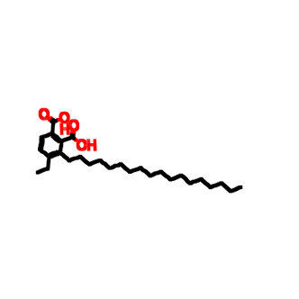 CCCCCCCCCCCCCCCCCCc1c(CC)ccc(C(=O)O)c1C(=O)O